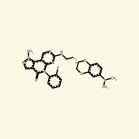 CN(C)c1ccc2c(c1)OC[C@H](CCNc1ncc3c4c(cnn4C)c(=O)n(-c4ccccc4F)c3n1)O2